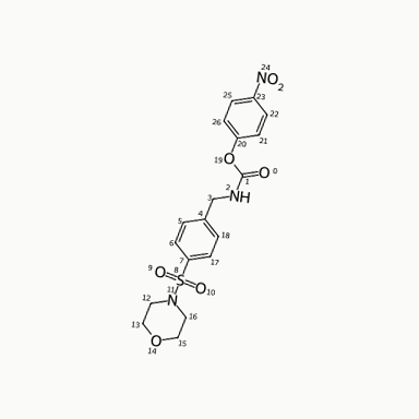 O=C(NCc1ccc(S(=O)(=O)N2CCOCC2)cc1)Oc1ccc([N+](=O)[O-])cc1